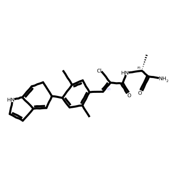 Cc1cc(C2C=c3cc[nH]c3=CC2)c(C)cc1/C=C(\Cl)C(=O)N[C@H](C)C(N)=O